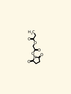 CCC(=O)OCC(=O)ON1C(=O)CCC1=O